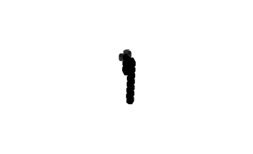 CCCCCCCCCCc1ccc2cc(C(=O)OC)ccc2c1